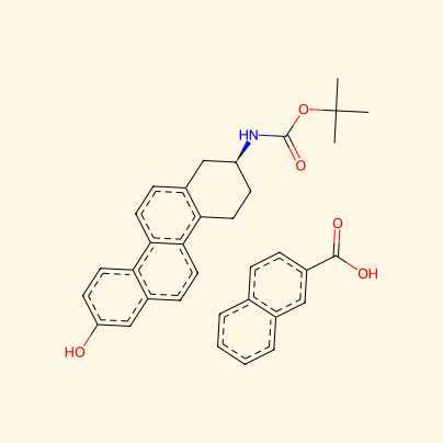 CC(C)(C)OC(=O)N[C@H]1CCc2c(ccc3c2ccc2cc(O)ccc23)C1.O=C(O)c1ccc2ccccc2c1